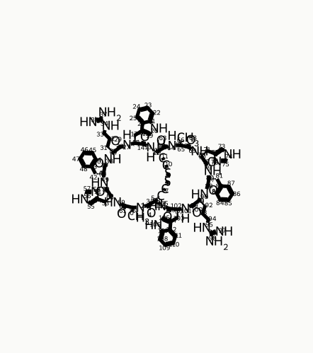 C[C@@H]1NC(=O)[C@@H]2CCSSCC[C@@H](NC(=O)[C@H](Cc3c[nH]c4ccccc34)NC(=O)[C@H](CCCNC(=N)N)NC(=O)[C@@H](Cc3ccccc3)NC(=O)[C@H](Cc3c[nH]cn3)NC1=O)C(=O)N[C@@H](C)C(=O)N[C@@H](Cc1c[nH]cn1)C(=O)N[C@H](Cc1ccccc1)C(=O)N[C@@H](CCCNC(=N)N)C(=O)N[C@@H](Cc1c[nH]c3ccccc13)C(=O)N2